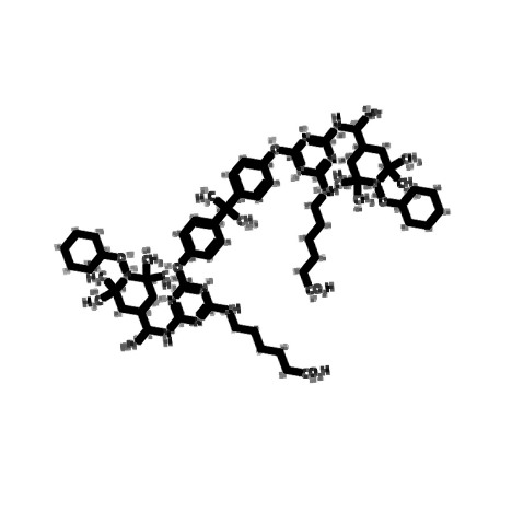 CCCC(Nc1nc(NCCCCCC(=O)O)nc(Oc2ccc(C(C)(C)c3ccc(Oc4nc(NCCCCCC(=O)O)nc(NC(CCC)C5CC(C)(C)N(OC6CCCCC6)C(C)(C)C5)n4)cc3)cc2)n1)C1CC(C)(C)N(OC2CCCCC2)C(C)(C)C1